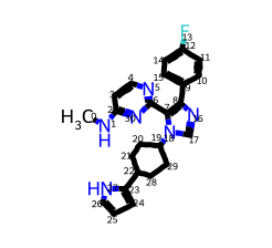 CNc1ccnc(-c2c(-c3ccc(F)cc3)ncn2C2CCC(c3ccc[nH]3)CC2)n1